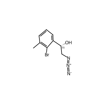 Cc1cccc([C@H](O)CN=[N+]=[N-])c1Br